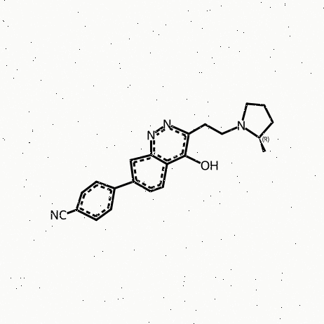 C[C@@H]1CCCN1CCc1nnc2cc(-c3ccc(C#N)cc3)ccc2c1O